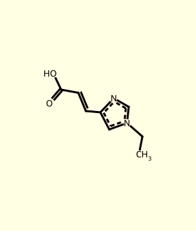 CCn1cnc(C=CC(=O)O)c1